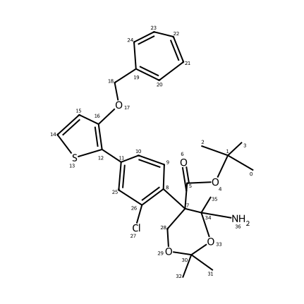 CC(C)(C)OC(=O)C1(c2ccc(-c3sccc3OCc3ccccc3)cc2Cl)COC(C)(C)OC1(C)N